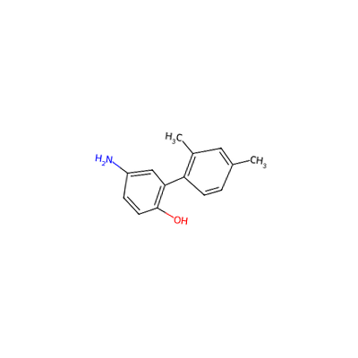 Cc1ccc(-c2cc(N)ccc2O)c(C)c1